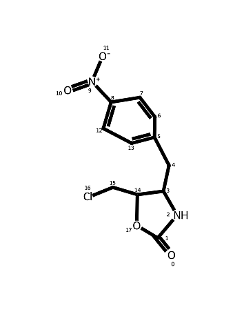 O=C1NC(Cc2ccc([N+](=O)[O-])cc2)C(CCl)O1